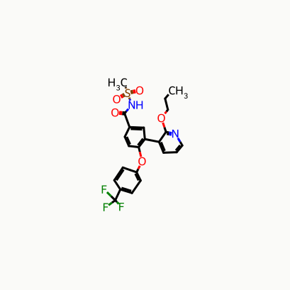 CCCOc1ncccc1-c1cc(C(=O)NS(C)(=O)=O)ccc1Oc1ccc(C(F)(F)F)cc1